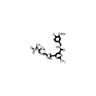 COc1cc(CNC(=O)c2cc(C3=NO[C@H]([C@H]4CO[C@H](C(C)[SH](=O)=O)CO4)C3)nc(C)n2)ccc1F